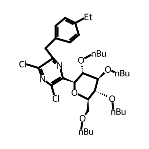 CCCCOC[C@H]1O[C@@H](c2nc(Cc3ccc(CC)cc3)c(Cl)nc2Cl)[C@H](OCCCC)[C@@H](OCCCC)[C@@H]1OCCCC